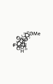 COc1ccc(Cn2c(=O)c3cc(F)c(Cl)cc3n(C[C@@H](C)O)c2=O)cc1